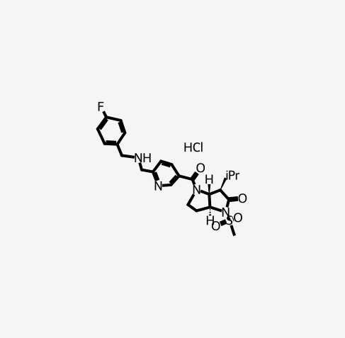 CC(C)[C@H]1C(=O)N(S(C)(=O)=O)[C@H]2CCN(C(=O)c3ccc(CNCc4ccc(F)cc4)nc3)[C@H]12.Cl